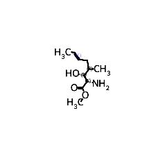 C/C=C/C[C@@H](C)[C@@H](O)[C@H](N)C(=O)OC